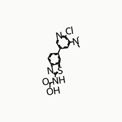 CN(C)c1cc(-c2ccc3nc(NC(=O)O)sc3c2)cnc1Cl